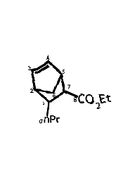 CCCC1C2C=CC(C2)C1C(=O)OCC